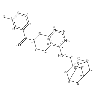 Cc1cccc(C(=O)N2CCc3c(ncnc3NCC34CC5CC(CC(C5)C3)C4)C2)c1